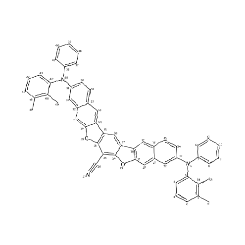 Cc1cccc(N(c2ccccc2)c2ccc3cc4c(cc3c2)oc2c(C#N)c3oc5cc6cc(N(c7ccccc7)c7cccc(C)c7C)ccc6cc5c3cc24)c1C